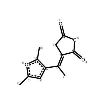 C/C(=C1/CC(=O)OC1=O)c1cc(C)oc1C